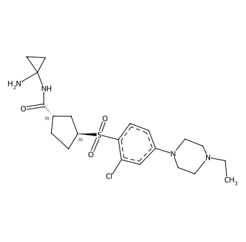 CCN1CCN(c2ccc(S(=O)(=O)[C@H]3CC[C@H](C(=O)NC4(N)CC4)C3)c(Cl)c2)CC1